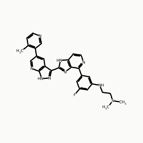 Cc1ccncc1-c1cnc2[nH]nc(-c3nc4c(-c5cc(F)cc(NCCN(C)C)c5)nccc4[nH]3)c2c1